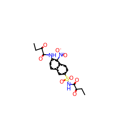 CCC(=O)C(=O)Nc1ccc2cc(S(=O)(=O)NC(=O)C(=O)CC)ccc2c1[N+](=O)[O-]